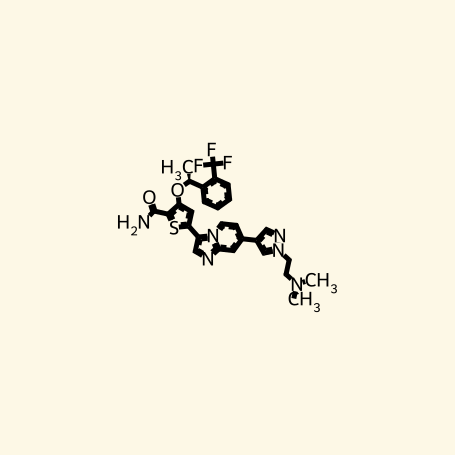 C[C@H](Oc1cc(-c2cnc3cc(-c4cnn(CCN(C)C)c4)ccn23)sc1C(N)=O)c1ccccc1C(F)(F)F